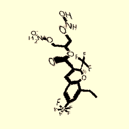 CCc1cc(S(F)(F)(F)(F)F)cc2c1O[C@H](C(F)(F)F)C(C(=O)OC(CONO)CO[NH2+][O-])=C2